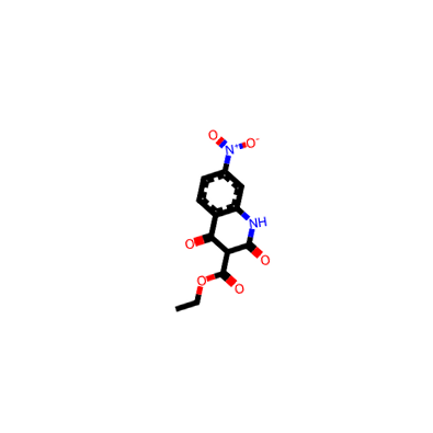 CCOC(=O)C1C(=O)Nc2cc([N+](=O)[O-])ccc2C1=O